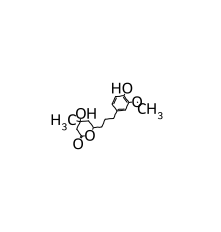 COc1cc(CCCC2CC(C)(O)CC(=O)O2)ccc1O